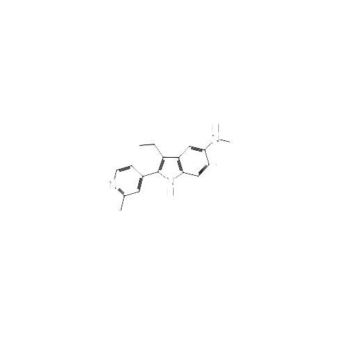 CCc1c(-c2ccnc(C)c2)[nH]c2ccc(NC)cc12